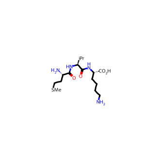 CSCC[C@H](N)C(=O)N[C@H](C(=O)N[C@@H](CCCCN)C(=O)O)C(C)C